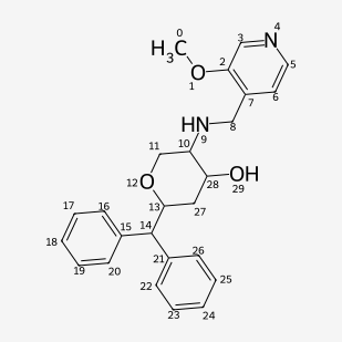 COc1cnccc1CNC1COC(C(c2ccccc2)c2ccccc2)CC1O